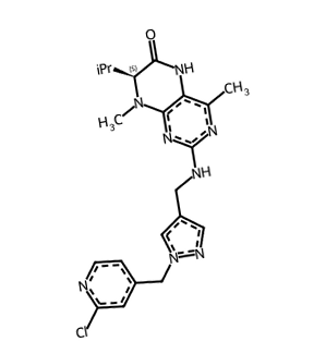 Cc1nc(NCc2cnn(Cc3ccnc(Cl)c3)c2)nc2c1NC(=O)[C@H](C(C)C)N2C